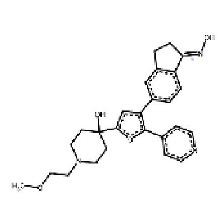 COCCN1CCC(O)(c2cc(-c3ccc4c(c3)CC/C4=N\O)c(-c3ccncc3)o2)CC1